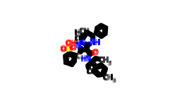 CCC(CC)(NC(=O)c1c(C)nn2c1N[C@@H](c1ccccc1)CC2(C)C)c1ccc(C)cc1.O=S(=O)(O)c1ccccc1